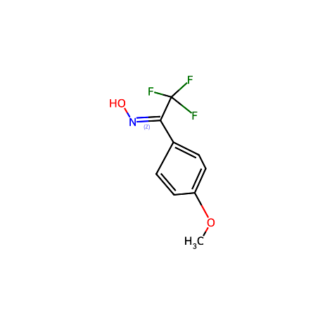 COc1ccc(/C(=N/O)C(F)(F)F)cc1